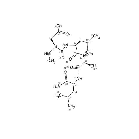 CN[C@@H](CC(=O)O)C(=O)N[C@@H](CC(C)C)C(=O)N[C@@H](C)C(=O)N[C@@H](CC(C)C)C(N)=O